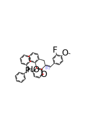 COc1ccc(/C=C(\Cc2ccccc2-c2ccccc2P(c2ccccc2)c2ccccc2)C(=O)O)cc1F